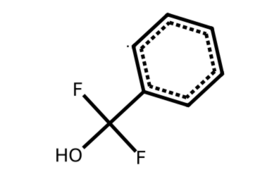 OC(F)(F)c1[c]cccc1